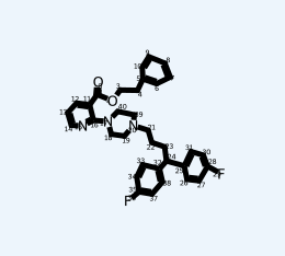 O=C(OCCc1ccccc1)c1cccnc1N1CCN(CCCC(c2ccc(F)cc2)c2ccc(F)cc2)CC1